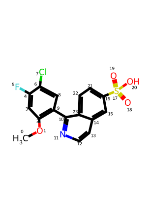 COc1cc(F)c(Cl)cc1-c1nccc2cc(S(=O)(=O)O)ccc12